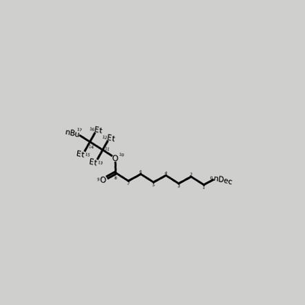 CCCCCCCCCCCCCCCCCC(=O)OC(CC)(CC)C(CC)(CC)CCCC